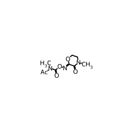 CC(=O)N(C)C(=O)ON=C1OCCN(C)C1=O